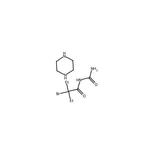 C1CNCCN1.CCC(Br)(CC)C(=O)NC(N)=O